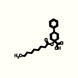 CCCCCCCCC(=O)OC1(C(=O)O)C=CC(c2ccccc2)C=C1